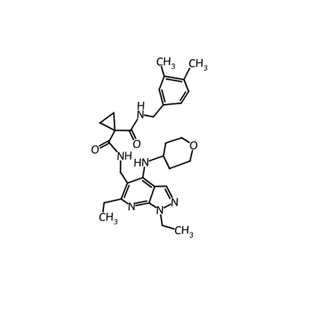 CCc1nc2c(cnn2CC)c(NC2CCOCC2)c1CNC(=O)C1(C(=O)NCc2ccc(C)c(C)c2)CC1